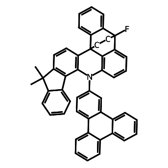 CC1(C)c2ccccc2-c2c1ccc1c2N(c2ccc3c4ccccc4c4ccccc4c3c2)c2cccc3c2C12CCC3(F)c1ccccc12